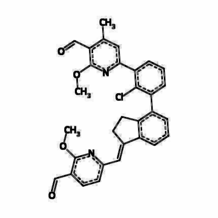 COc1nc(C=C2CCc3c2cccc3-c2cccc(-c3cc(C)c(C=O)c(OC)n3)c2Cl)ccc1C=O